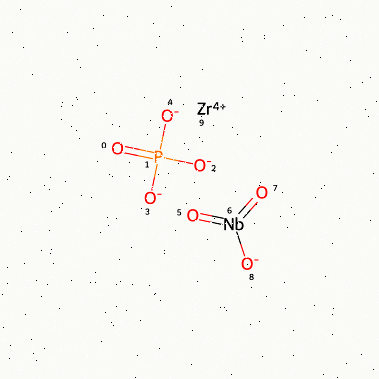 O=P([O-])([O-])[O-].[O]=[Nb](=[O])[O-].[Zr+4]